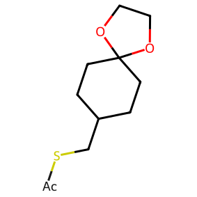 CC(=O)SCC1CCC2(CC1)OCCO2